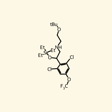 CC[Si](CC)(CC)OC(CNCCOC(C)(C)C)c1c(Cl)cc(OC(F)(F)F)cc1Cl